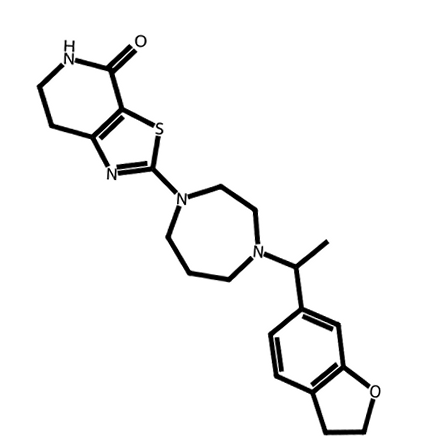 CC(c1ccc2c(c1)OCC2)N1CCCN(c2nc3c(s2)C(=O)NCC3)CC1